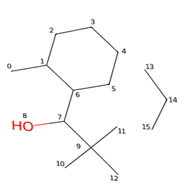 CC1CCCCC1C(O)C(C)(C)C.CCC